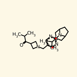 CC(C)C(=O)C1CN(Cc2cnc(N3C4CCC3CN(C(C)C)C4)nc2)C1